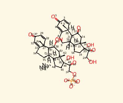 C[C@]12C=CC(=O)C=C1CC[C@@H]1[C@@H]2C(=O)C[C@@]2(C)[C@H]1CC[C@]2(O)C(=O)CO.C[C@]12C=CC(=O)C=C1CC[C@@H]1[C@@H]2[C@@H](O)C[C@@]2(C)[C@H]1CC[C@]2(O)C(=O)COP(=O)([O-])[O-].[Na+].[Na+]